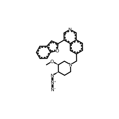 CO[C@H]1CN(Cc2ccc3cncc(-c4cc5ccccc5o4)c3c2)CC[C@H]1N=[N+]=[N-]